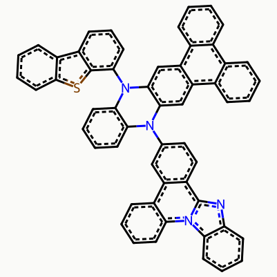 c1ccc2c(c1)N(c1ccc3c(c1)c1ccccc1n1c4ccccc4nc31)c1cc3c4ccccc4c4ccccc4c3cc1N2c1cccc2c1sc1ccccc12